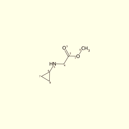 COC(=O)CNC1CC1